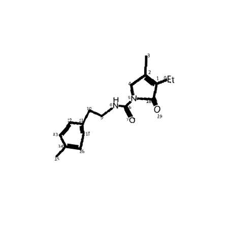 CCC1=C(C)CN(C(=O)NCCc2ccc(C)cc2)C1=O